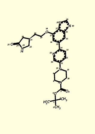 CC(C)(C)OC(=O)N1CCN(c2ccc(-c3cc(OCC[C@H]4CNC(=O)C4)c4scnc4c3)nc2)CC1